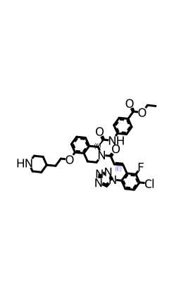 CCOC(=O)c1ccc(NC(=O)[C@@H]2c3cccc(OCCC4CCNCC4)c3CCN2C(=O)/C=C/c2c(-n3cnnn3)ccc(Cl)c2F)cc1